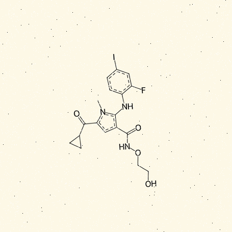 Cn1c(C(=O)C2CC2)cc(C(=O)NOCCO)c1Nc1ccc(I)cc1F